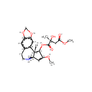 COC(=O)C[C@@](C)(O)C(=O)OC1C(OC)=C[C@]23CCCN2CCc2cc4c(cc2[C@H]13)OCO4